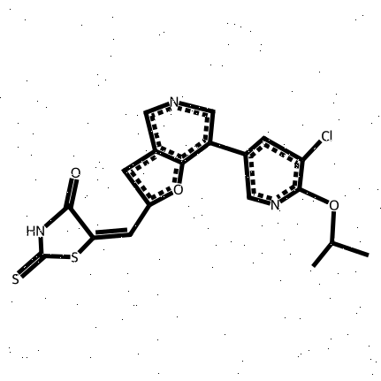 CC(C)Oc1ncc(-c2cncc3cc(C=C4SC(=S)NC4=O)oc23)cc1Cl